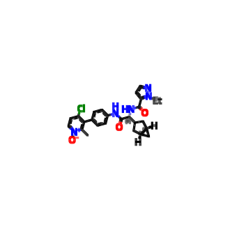 CCn1nccc1C(=O)N[C@@H](C(=O)Nc1ccc(-c2c(Cl)cc[n+]([O-])c2C)cc1)C1C[C@@H]2C[C@@H]2C1